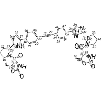 C[C@@H]1OC(=O)N[C@H]1C(=O)N1CCC[C@H]1c1ncc(-c2ccc(C#Cc3ccc(-c4cnc([C@@H]5CCCN5C(=O)[C@@H]5NC(=O)O[C@H]5C)[nH]4)cc3)cc2)[nH]1